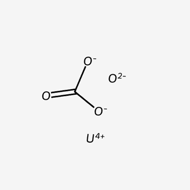 O=C([O-])[O-].[O-2].[U+4]